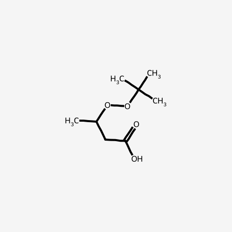 CC(CC(=O)O)OOC(C)(C)C